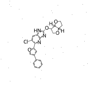 Clc1cc2[nH]c(OC3CO[C@@H]4CCO[C@H]34)nc2nc1-c1cc(-c2ccccc2)co1